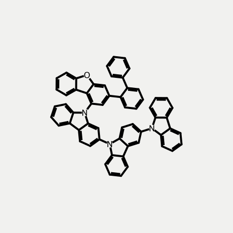 c1ccc(-c2ccccc2-c2cc(-n3c4ccccc4c4ccc(-n5c6ccccc6c6cc(-n7c8ccccc8c8ccccc87)ccc65)cc43)c3c(c2)oc2ccccc23)cc1